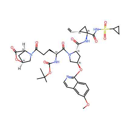 C=C[C@@H]1C[C@]1(NC(=O)[C@@H]1C[C@@H](Oc2nccc3cc(OC)ccc23)CN1C(=O)[C@H](CCC(=O)N1C[C@@H]2C[C@H]1C(=O)O2)NC(=O)OC(C)(C)C)C(=O)NS(=O)(=O)C1CC1